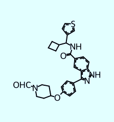 O=CN1CCC(Oc2ccc(-c3n[nH]c4ccc(C(=O)NC(c5ccsc5)C5CCC5)cc34)cc2)CC1